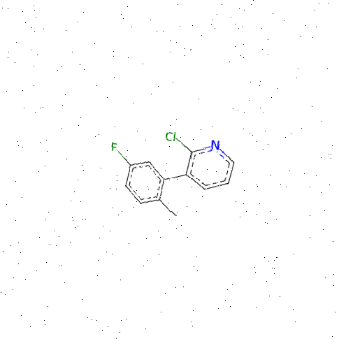 Cc1ccc(F)cc1-c1cccnc1Cl